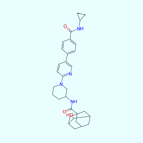 O=C(NC1CC1)c1ccc(-c2ccc(N3CCCC(NC(=O)C45CC6CC(C4)C(O)C(C6)C5)C3)nc2)cc1